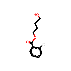 CCc1ccccc1C(=O)OCCCCO